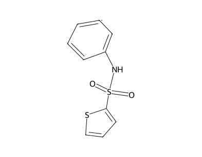 O=S(=O)(Nc1c[c]ccc1)c1cccs1